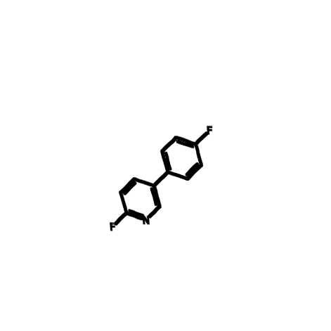 Fc1ccc(-c2ccc(F)nc2)cc1